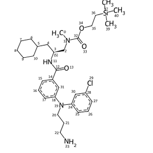 CN(C[C@H](CC1CCCCC1)NC(=O)c1cccc(N(CCCN)c2cccc(Cl)c2)c1)C(=O)OCC[Si](C)(C)C